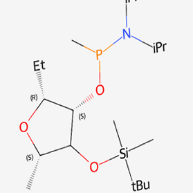 CC[C@H]1O[C@@H](C)C(O[Si](C)(C)C(C)(C)C)[C@H]1OP(C)N(C(C)C)C(C)C